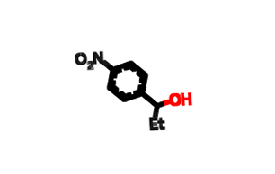 [CH2]CC(O)c1ccc([N+](=O)[O-])cc1